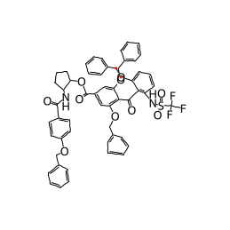 O=C(NC1CCCC1OC(=O)c1cc(OCc2ccccc2)c(C(=O)c2c(NS(=O)(=O)C(F)(F)F)cccc2OCc2ccccc2)c(OCc2ccccc2)c1)c1ccc(OCc2ccccc2)cc1